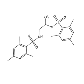 Cc1cc(C)c(S(=O)(=O)NCC(OS(=O)(=O)c2c(C)cc(C)cc2C)C(F)(F)F)c(C)c1